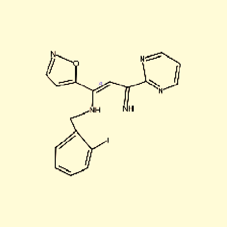 N=C(/C=C(\NCc1ccccc1I)c1ccno1)c1ncccn1